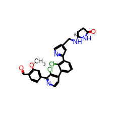 COc1cc(-c2nccc(-c3cccc(-c4cc(CN[C@@H]5CCC(=O)N5)ccn4)c3Cl)c2Cl)ccc1C=O